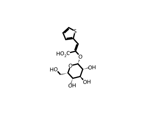 O=C(O)/C(=C\c1cccs1)O[C@H]1O[C@@H](CO)[C@@H](O)[C@H](O)[C@H]1O